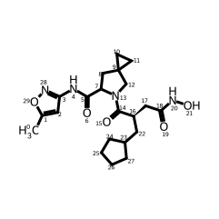 Cc1cc(NC(=O)C2CC3(CC3)CN2C(=O)[C@@H](CC(=O)NO)CC2CCCC2)no1